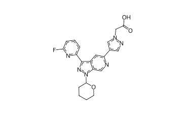 O=C(O)Cn1cc(-c2cc3c(-c4cccc(F)n4)nn(C4CCCCO4)c3cn2)cn1